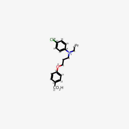 CC(C)CN(CCCOc1ccc(C(=O)O)cc1)c1ccc(Cl)cc1